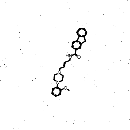 COc1ccccc1N1CCN(CC=CCNC(=O)c2ccc3c(c2)Cc2ccccc2-3)CC1